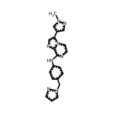 Cn1cc(-c2cnc3c(Nc4ccc(Cn5cccn5)cc4)nccn23)cn1